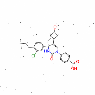 CCC[C@@]1(c2ccc(CCC(C)(C)C)c(Cl)c2)NC(=O)N(c2ccc(C(=O)O)cc2)C=C1C1CC(OC)C1